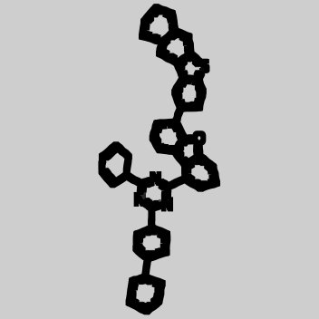 C1=CCC(c2nc(-c3ccc(-c4ccccc4)cc3)nc(-c3cccc4oc5c(-c6ccc7sc8cc9ccccc9cc8c7c6)cccc5c34)n2)C=C1